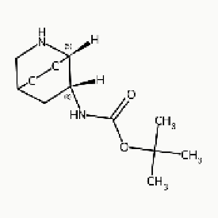 CC(C)(C)OC(=O)N[C@@H]1CC2CC[C@@H]1NC2